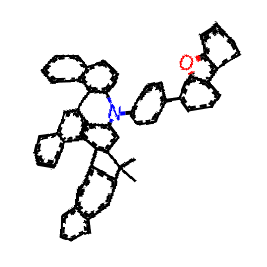 CC1(C)c2cc(N(c3ccc(-c4cccc5c4oc4ccccc45)cc3)c3ccc4ccccc4c3-c3ccc4ccccc4c3)ccc2-c2cc3ccccc3cc21